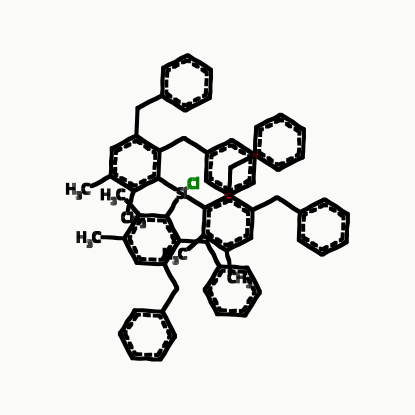 Cc1cc(Cc2ccccc2)c(Cc2ccccc2)c([Si](Cl)(c2c(C)c(C)cc(Cc3ccccc3)c2Cc2ccccc2)c2c(C)c(C)cc(Cc3ccccc3)c2Cc2ccccc2)c1C